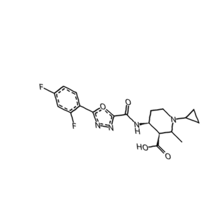 CC1[C@@H](C(=O)O)[C@@H](NC(=O)c2nnc(-c3ccc(F)cc3F)o2)CCN1C1CC1